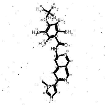 Bc1c(B)c(C(=O)Nc2cc3cc(-c4cncn4C)ncc3cn2)c(B)c(B)c1OC(B)(B)B